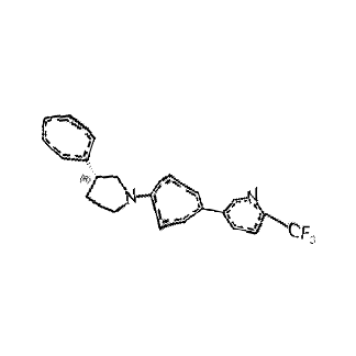 FC(F)(F)c1ccc(-c2ccc(N3CC[C@H](c4ccccc4)C3)cc2)cn1